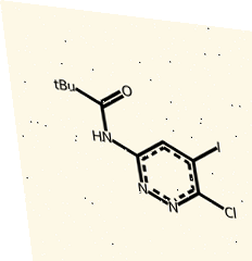 CC(C)(C)C(=O)Nc1cc(I)c(Cl)nn1